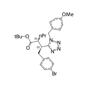 CCC[C@H](C(=O)OC(C)(C)C)[C@H](Cc1ccc(Br)cc1)c1nnnn1Cc1ccc(OC)cc1